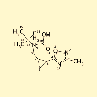 Cc1noc(C2CC2CN(C(=O)O)C(C)(C)C)n1